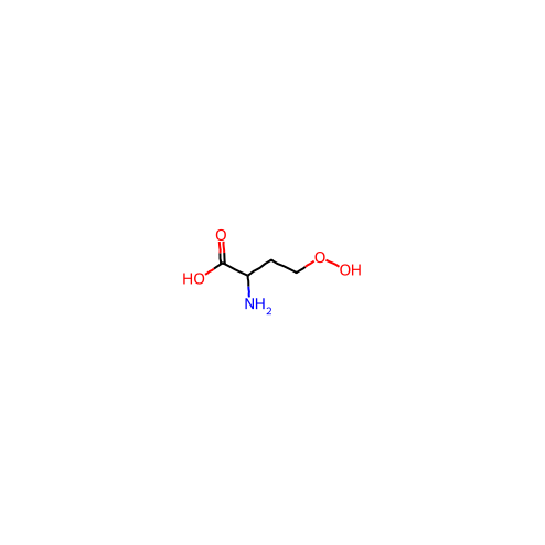 NC(CCOO)C(=O)O